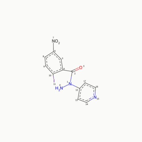 NN(C(=O)c1cc([N+](=O)[O-])ccc1I)c1ccncc1